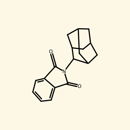 O=C1c2ccccc2C(=O)N1C1C2CC3CC(C2)CC1C3